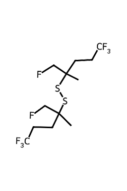 CC(CF)(CCC(F)(F)F)SSC(C)(CF)CCC(F)(F)F